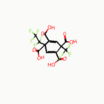 O=C(O)C1=CC(C(=O)O)(C(F)(F)C(F)(F)F)C(C(=O)O)=CC1(C(=O)O)C(F)(F)F